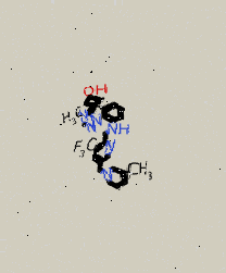 C[C@H]1CCCN(Cc2cnc(CNc3cccc([C@]4(c5nncn5C)C[C@@H](O)C4)c3)c(C(F)(F)F)c2)C1